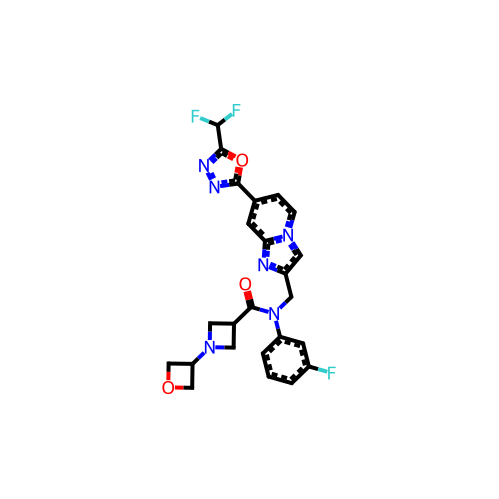 O=C(C1CN(C2COC2)C1)N(Cc1cn2ccc(-c3nnc(C(F)F)o3)cc2n1)c1cccc(F)c1